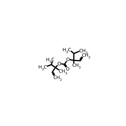 C=CC(C)(OC(=O)OC(C)(C=C)C(C)C)C(C)C